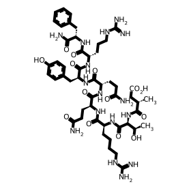 C[C@@H](CC(=O)O)C(=O)N[C@H](C(=O)N[C@@H](CCCCNC(=N)N)C(=O)N[C@@H](CCC(N)=O)C(=O)N[C@@H](CCC(N)=O)C(=O)N[C@@H](Cc1ccc(O)cc1)C(=O)N[C@@H](CCCNC(=N)N)C(=O)N[C@@H](Cc1ccccc1)C(N)=O)[C@@H](C)O